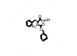 CCCOC(=O)[C@H](Cc1ccccc1)N(C(C)=O)C(=O)OCc1ccccc1